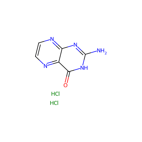 Cl.Cl.Nc1nc2nccnc2c(=O)[nH]1